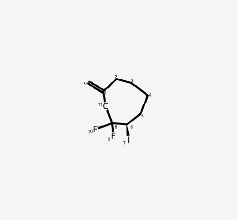 C=C1CCCC[C@@H](I)C(F)(F)C1